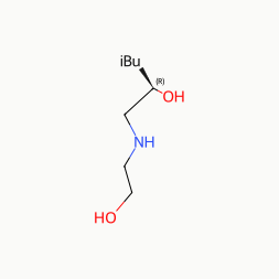 CCC(C)[C@@H](O)CNCCO